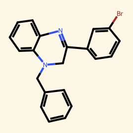 Brc1cccc(C2=Nc3ccccc3N(Cc3ccccc3)C2)c1